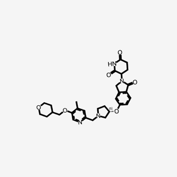 Cc1cc(CN2CC[C@H](Oc3ccc4c(c3)CN(C3CCC(=O)NC3=O)C4=O)C2)ncc1OCC1CCOCC1